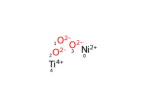 [Ni+2].[O-2].[O-2].[O-2].[Ti+4]